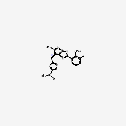 CCCCN(CC)c1ccc(/C=c2/c(C(C)(C)C)nn3nc(-c4cccc(C)c4OC)nc23)s1